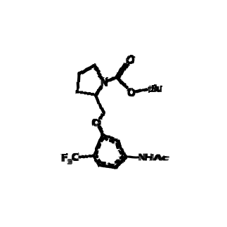 CC(=O)Nc1ccc(C(F)(F)F)c(OCC2CCCN2C(=O)OC(C)(C)C)c1